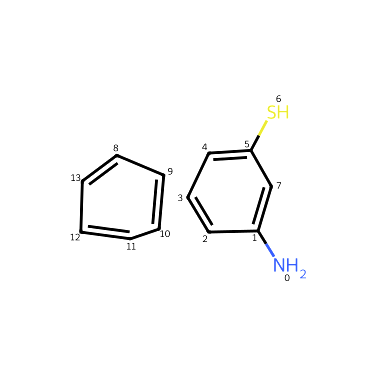 Nc1cccc(S)c1.c1ccccc1